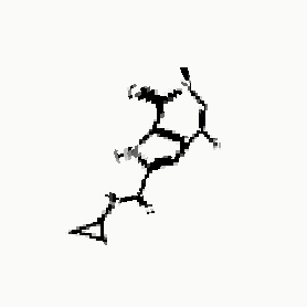 Cn1cc(Br)c2cc(C(=O)NC3CC3)[nH]c2c1=O